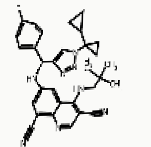 CC(C)(C)CNc1c(C#N)cnc2c(C#N)cc(N[C@@H](c3ccc(F)cc3)c3cn(C4(C5CC5)CC4)nn3)cc12